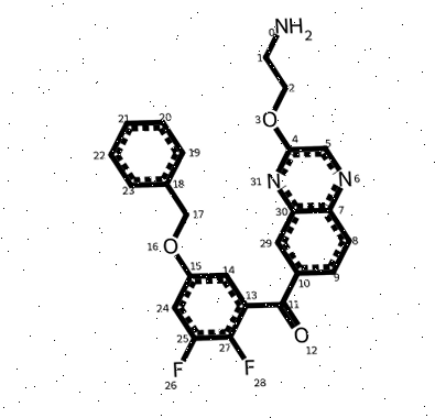 NCCOc1cnc2ccc(C(=O)c3cc(OCc4ccccc4)cc(F)c3F)cc2n1